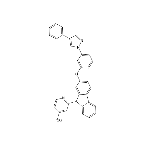 CC(C)(C)c1ccnc(C2c3ccccc3-c3ccc(Oc4cccc(-n5cc(-c6ccccc6)cn5)c4)cc32)c1